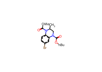 CCCCOC(=O)N1CC(C)N(C(=O)OC)c2ccc(Br)cc21